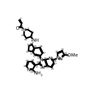 C=CC(=O)N1CCC(N[C@H]2CCc3cc(-n4c(-c5cccnc5N)nc5ccc(-n6ccc(OC)n6)nc54)ccc32)CC1